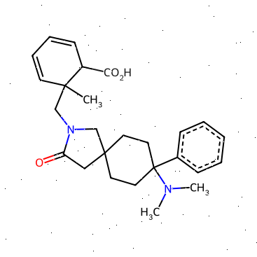 CN(C)C1(c2ccccc2)CCC2(CC1)CC(=O)N(CC1(C)C=CC=CC1C(=O)O)C2